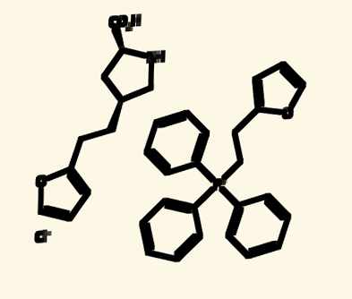 O=C(O)[C@@H]1C[C@H](CCc2ccco2)CN1.[Cl-].c1ccc([P+](CCc2ccco2)(c2ccccc2)c2ccccc2)cc1